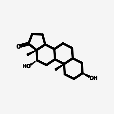 C[C@]12CC[C@H](O)CC1CCC1C2C[C@H](O)[C@]2(C)C(=O)CCC12